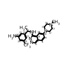 C[C@@H](Nc1nncc2ccc(N3CCN(C)CC3)cc12)c1cc(N)cc(C(F)(F)F)c1